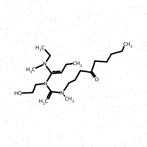 C=C(N(C)CCCC(=O)CCCCC)N(CCO)/C(=C/CC)N(C)CC